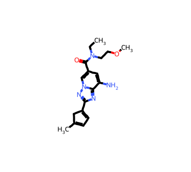 CCN(CCOC)C(=O)c1cc(N)c2nc(C3=CC=C(C)C3)nn2c1